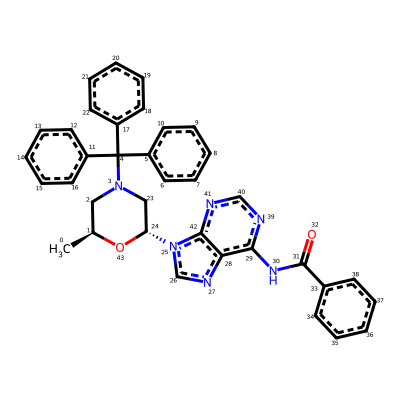 C[C@H]1CN(C(c2ccccc2)(c2ccccc2)c2ccccc2)C[C@H](n2cnc3c(NC(=O)c4ccccc4)ncnc32)O1